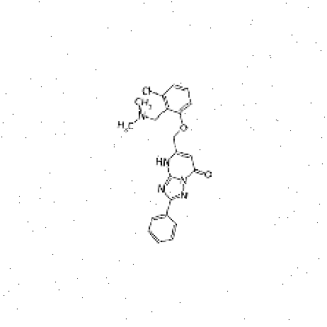 CN(C)Cc1c(Cl)cccc1OCc1cc(=O)n2nc(-c3ccccc3)nc2[nH]1